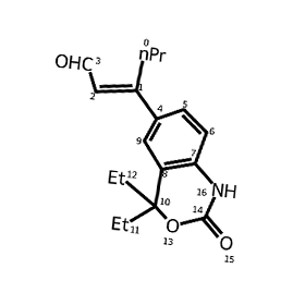 CCCC(=CC=O)c1ccc2c(c1)C(CC)(CC)OC(=O)N2